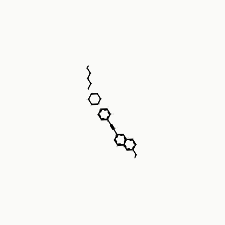 CCCCCC[C@H]1CC[C@H](c2ccc(C#Cc3ccc4cc(CC)ccc4c3)cc2)CC1